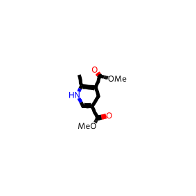 COC(=O)C1=CNC(C)=C(C(=O)OC)C1